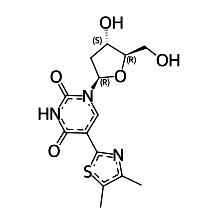 Cc1nc(-c2cn([C@H]3C[C@H](O)[C@@H](CO)O3)c(=O)[nH]c2=O)sc1C